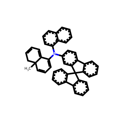 CC12C=CC=C(N(c3ccc4c(c3)C3(c5ccccc5-c5ccccc53)c3ccccc3-4)c3cccc4ccccc34)C1=CC=CC2